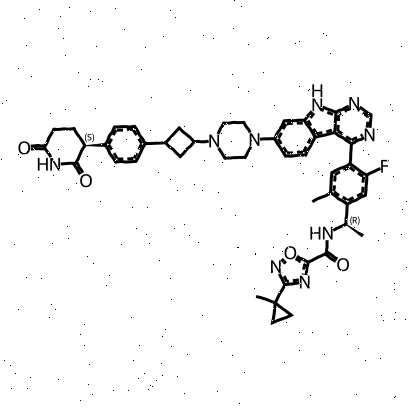 Cc1cc(-c2ncnc3[nH]c4cc(N5CCN(C6CC(c7ccc([C@@H]8CCC(=O)NC8=O)cc7)C6)CC5)ccc4c23)c(F)cc1[C@@H](C)NC(=O)c1nc(C2(C)CC2)no1